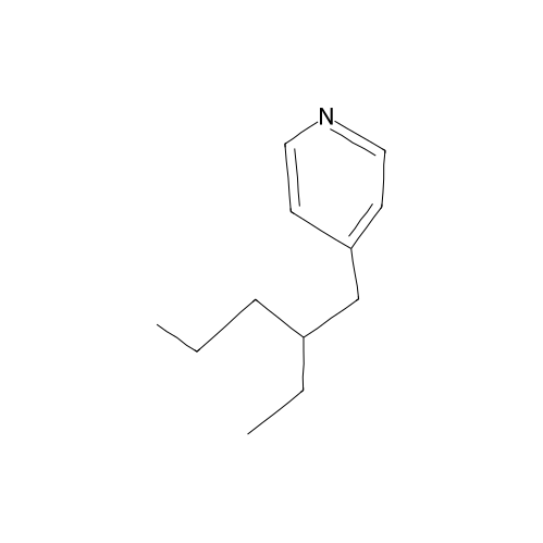 CCCC(CC)Cc1ccncc1